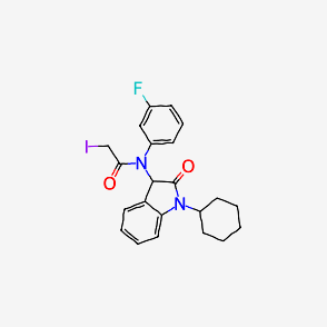 O=C1C(N(C(=O)CI)c2cccc(F)c2)c2ccccc2N1C1CCCCC1